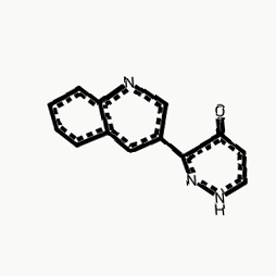 O=c1cc[nH]nc1-c1cnc2ccccc2c1